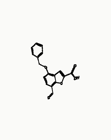 O=Cc1ccc(OCc2ccccc2)c2cc(C(=O)O)oc12